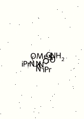 COCCN(Cc1nc(C(C)C)n(-c2ccc(S(N)(=O)=O)cc2)n1)C(C)C